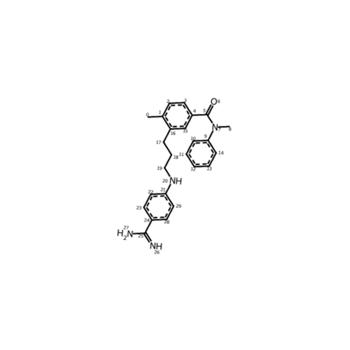 Cc1ccc(C(=O)N(C)c2ccccc2)cc1CCCNc1ccc(C(=N)N)cc1